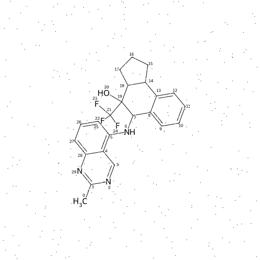 Cc1ncc2c(NC3c4ccccc4C4CCCC4C3(O)C(F)(F)F)cccc2n1